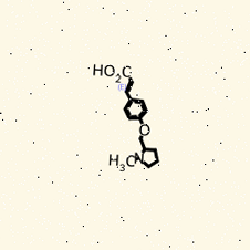 CN1CCCC1COc1ccc(/C=C/C(=O)O)cc1